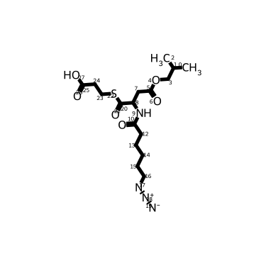 CC(C)COC(=O)CC(NC(=O)CCCCCN=[N+]=[N-])C(=O)SCCC(=O)O